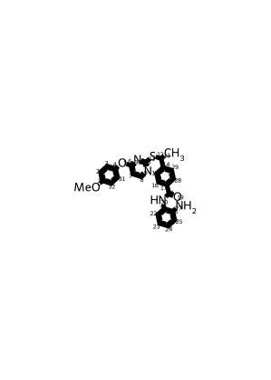 COc1ccc(Oc2ccnc(SC(C)c3ccc(C(=O)Nc4ccccc4N)cc3)n2)cc1